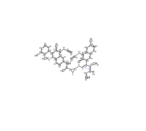 CC(/C(=C/CC1CC1C(=O)Nc1cc2c(cn1)cc(-c1cncc(F)c1C)c(=O)n2CC#N)c1cc2cnc(Cl)cc2n(CC#N)c1=O)=C(\F)C=N